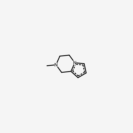 CN1CCn2cccc2C1